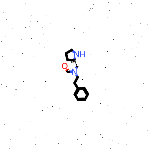 O=CN(CCc1ccccc1)C[C@@H]1CCCN1